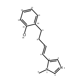 Cn1cncc1C=CCCc1ccccc1Cl